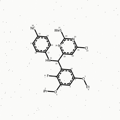 CCOc1cc(OC(C)C)c(F)c(C(Nc2ccc(C#N)cc2)c2cc(Cl)nc(SC)n2)c1